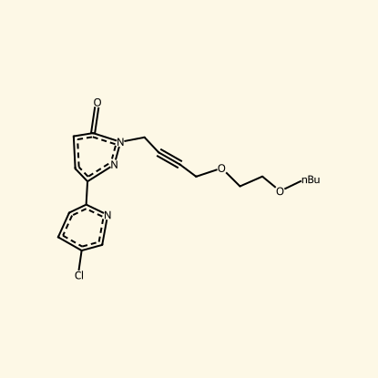 CCCCOCCOCC#CCn1nc(-c2ccc(Cl)cn2)ccc1=O